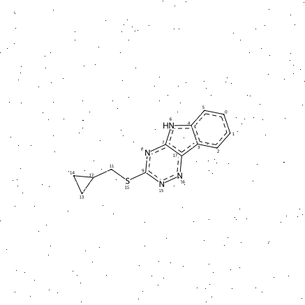 c1ccc2c(c1)[nH]c1nc(SCC3CC3)nnc12